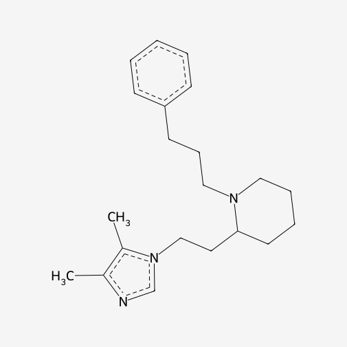 Cc1ncn(CCC2CCCCN2CCCc2ccccc2)c1C